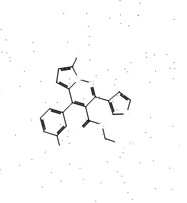 CCc1ccc2c(-c3cccc(Cl)c3)c(C(=O)NCC(=O)O)c(-c3ccoc3)nn12